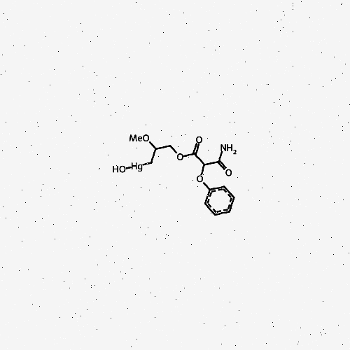 COC(COC(=O)C(Oc1ccccc1)C(N)=O)[CH2][Hg][OH]